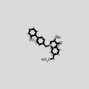 CCCCc1cn(Cc2ccc(-c3ccccc3C(=O)O)cc2)c2cc(CC(=O)O)ccc2c1=O